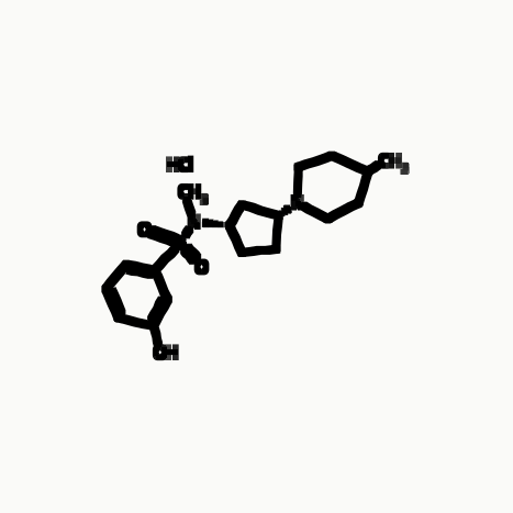 CC1CCN([C@@H]2CC[C@H](N(C)S(=O)(=O)c3cccc(O)c3)C2)CC1.Cl